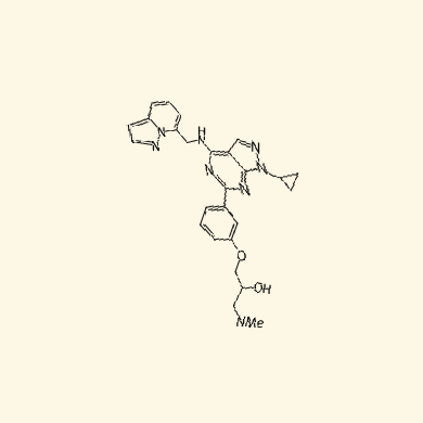 CNCC(O)COc1cccc(-c2nc(NCc3cccc4ccnn34)c3cnn(C4CC4)c3n2)c1